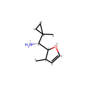 CC1C=COC1[C@H](N)C1(C)CC1